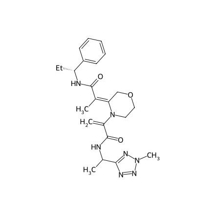 C=C(C(=O)NC(C)c1nnn(C)n1)N1CCOC/C1=C(/C)C(=O)N[C@H](CC)c1ccccc1